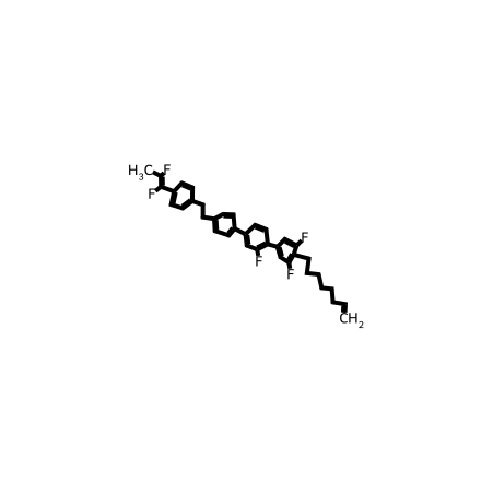 C=CCCCCCCc1c(F)cc(-c2ccc(-c3ccc(CCc4ccc(/C(F)=C(/C)F)cc4)cc3)cc2F)cc1F